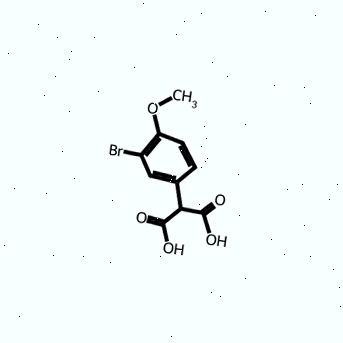 COc1ccc(C(C(=O)O)C(=O)O)cc1Br